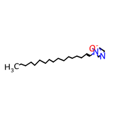 CCCCCCCCCCCCCCCC=C[N+]1([O-])C=NCC1